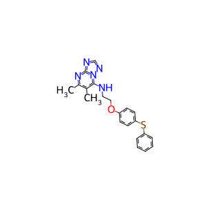 Cc1nc2ncnn2c(NCCOc2ccc(Sc3ccccc3)cc2)c1C